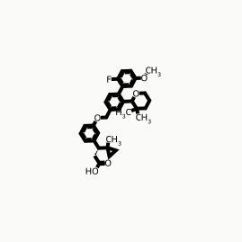 COc1ccc(F)c(-c2ccc(COc3cccc([C@@H](CC(=O)O)C4(C)CC4)c3)cc2C2OCCCC2(C)C)c1